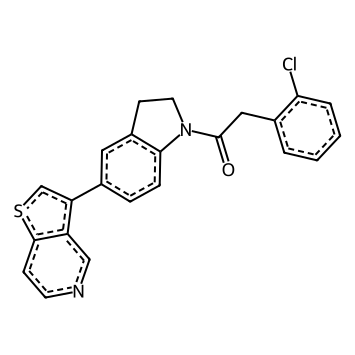 O=C(Cc1ccccc1Cl)N1CCc2cc(-c3csc4ccncc34)ccc21